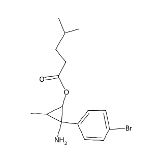 CC(C)CCC(=O)OC1C(C)C1(N)c1ccc(Br)cc1